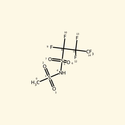 CS(=O)(=O)NS(=O)(=O)C(F)(F)C(F)(F)C(F)(F)F